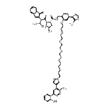 Cc1ncsc1-c1ccc(CNC(=O)[C@@H]2C[C@@H](O)CN2C(=O)C(C(C)C)N2Cc3ccccc3C2=O)c(OCCOCCOCCOCCOCCOCCn2cc(-c3cc(-c4ccccc4O)nnc3N)cn2)c1